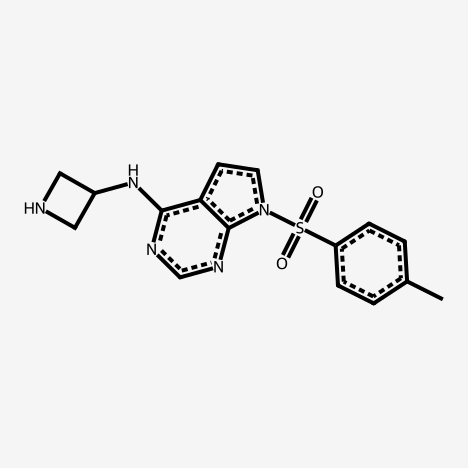 Cc1ccc(S(=O)(=O)n2ccc3c(NC4CNC4)ncnc32)cc1